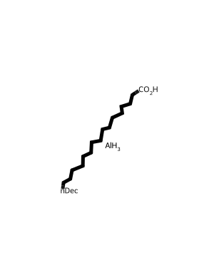 CCCCCCCCCCCCCCCCCCCCCCCCCC(=O)O.[AlH3]